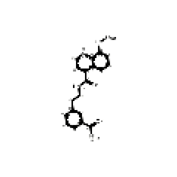 CSSc1cccc2c(C(=O)NCCc3cccc(C(N)=O)c3)ccnc12